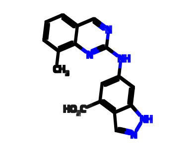 Cc1cccc2cnc(Nc3cc(C(=O)O)c4cn[nH]c4c3)nc12